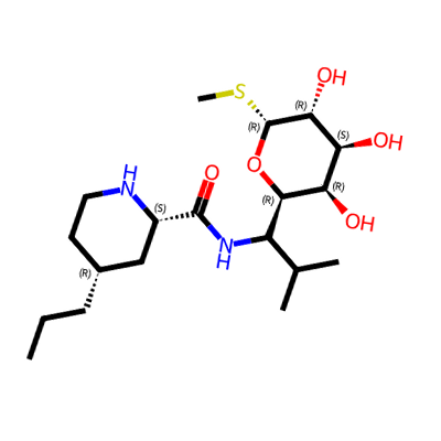 CCC[C@@H]1CCN[C@H](C(=O)NC(C(C)C)[C@H]2O[C@H](SC)[C@H](O)[C@@H](O)[C@H]2O)C1